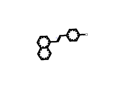 Clc1ccc(/C=C/c2cccc3ccccc23)cc1